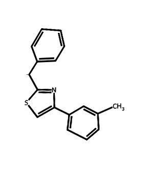 Cc1cccc(-c2csc([CH]c3ccccc3)n2)c1